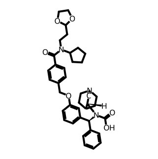 O=C(c1ccc(COc2cccc([C@H](c3ccccc3)N(C(=O)O)[C@H]3CN4CCC3CC4)c2)cc1)N(CCC1OCCO1)C1CCCC1